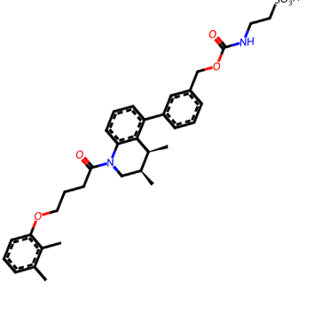 Cc1cccc(OCCCC(=O)N2C[C@H](C)[C@H](C)c3c(-c4cccc(COC(=O)NCCS(=O)(=O)O)c4)cccc32)c1C